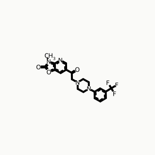 Cn1c(=O)oc2cc(C(=O)CN3CCN(c4cccc(C(F)(F)F)c4)CC3)cnc21